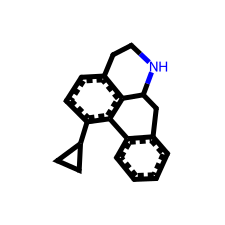 c1ccc2c(c1)CC1NCCc3ccc(C4CC4)c-2c31